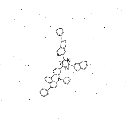 c1ccc(-c2ccc3cc(-c4nc(-c5ccc6c(c5)N(c5ccccc5)c5ccc(-c7ccccc7)c7cccc-6c57)nc(-c5ccc6ccccc6c5)n4)ccc3c2)cc1